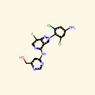 Nc1cc(Cl)c(-n2cc3c(Nc4cc(CO)ncn4)ncc(F)c3n2)c(Cl)c1